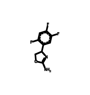 NC1=NC(c2cc(F)c(F)cc2F)CO1